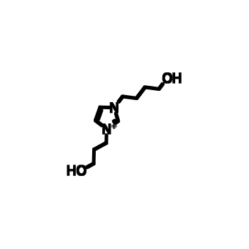 OCCCCn1cc[n+](CCCO)c1